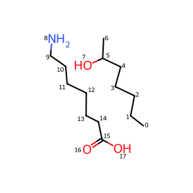 CCCCCC(C)O.NCCCCCCC(=O)O